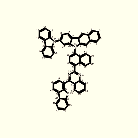 c1ccc2cc3c(cc2c1)c1ccc(-n2c4ccccc4c4ccccc42)cc1n3-c1ccc(-c2nc(-c3cccc4c3sc3ccccc34)c3ccccc3n2)c2ccccc12